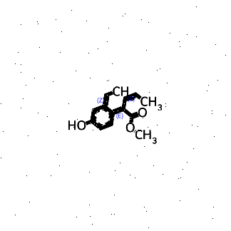 C\C=C/C(C(=O)OC)=c1/ccc(O)c/c1=C/C